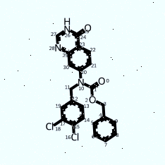 O=C(OCc1ccccc1)N(Cc1ccc(Cl)c(Cl)c1)c1ccc2c(=O)[nH]cnc2c1